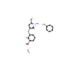 CCOC(=O)c1cccc(Cc2cc(C=O)n(COCc3ccccc3)c2Br)c1F